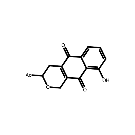 CC(=O)C1CC2=C(CO1)C(=O)c1c(O)cccc1C2=O